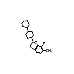 Cc1ccc2c(c1F)OC(C1CCC(C3CCCCC3)CC1)CC2